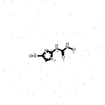 CCNC(=O)Nc1nc(C=O)cs1